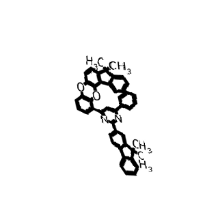 CC1(C)c2ccccc2-c2ccc(-c3nc(-c4ccccc4)cc(-c4cccc5c4Oc4c(ccc6c4-c4ccccc4C6(C)C)O5)n3)cc21